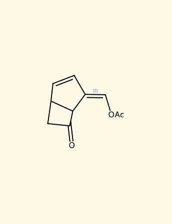 CC(=O)O/C=C1/C=CC2CC(=O)C12